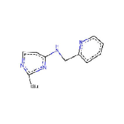 CC(C)(C)c1nccc(NCc2ccccn2)n1